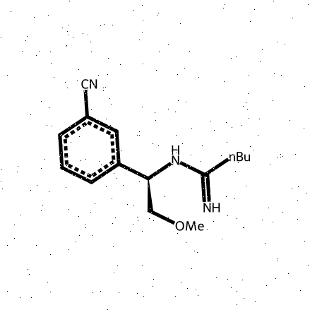 CCCCC(=N)N[C@@H](COC)c1cccc(C#N)c1